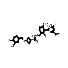 O=c1cc(C(F)F)nc(-c2c(C(F)(F)F)ccc(CNC(=O)[C@H]3C[C@H](OCc4ccc(F)c(Cl)c4)C3)c2F)[nH]1